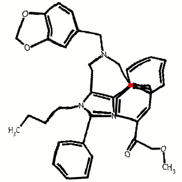 CCCCn1c(-c2ccccc2)nc(-c2ccccc2)c1CN(Cc1ccc(C(=O)OC)cc1)Cc1ccc2c(c1)OCO2